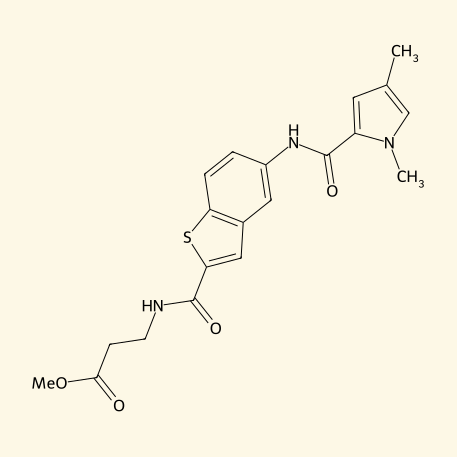 COC(=O)CCNC(=O)c1cc2cc(NC(=O)c3cc(C)cn3C)ccc2s1